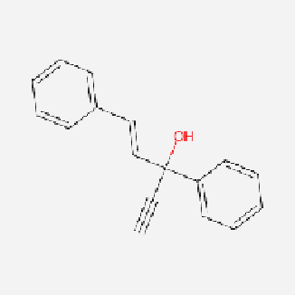 C#CC(O)(/C=C/c1ccccc1)c1ccccc1